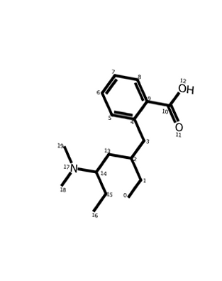 CCC(Cc1ccccc1C(=O)O)CC(CC)N(C)C